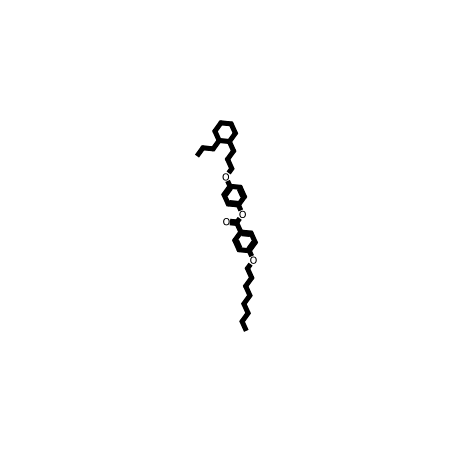 CCCCCCCCOc1ccc(C(=O)Oc2ccc(OCCCC3CCCCC3CCC)cc2)cc1